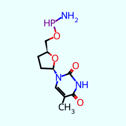 Cc1cn([C@H]2CC[C@@H](COPN)O2)c(=O)[nH]c1=O